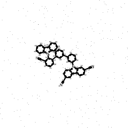 N#Cc1ccc2c(c1)c1ccc(C#N)cc1n2-c1cccc(-c2cccc(-c3cccc(C#N)c3-n3c4ccccc4c4ccccc43)c2)c1